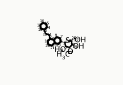 CO[C@@H]1[C@@H](O)[C@H](c2ccc3c(CCc4ccccc4)cccc3c2)S[C@H](CO)[C@H]1O